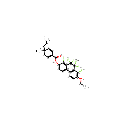 CCCC1(C)C=CC(C(=O)Oc2ccc3c(c2F)C(F)(F)C(F)(F)c2c-3ccc(OCC)c2F)=CC1